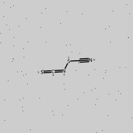 N#CSN=C=S